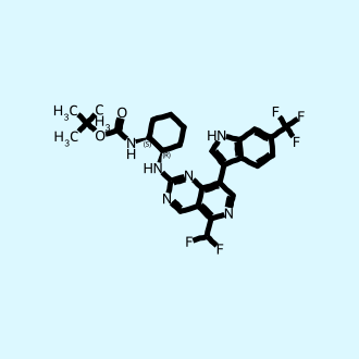 CC(C)(C)OC(=O)N[C@H]1CCCC[C@H]1Nc1ncc2c(C(F)F)ncc(-c3c[nH]c4cc(C(F)(F)F)ccc34)c2n1